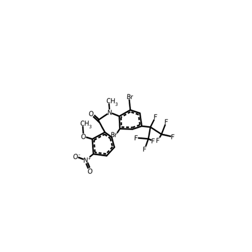 COc1c(C(=O)N(C)c2c(Br)cc(C(F)(C(F)(F)F)C(F)(F)F)cc2Br)cccc1[N+](=O)[O-]